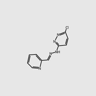 Clc1ccc(N/N=C/c2ccccn2)nn1